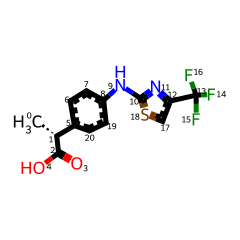 C[C@@H](C(=O)O)c1ccc(Nc2nc(C(F)(F)F)cs2)cc1